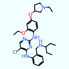 CCOc1cc(OC2CCN(CC)C2)ccc1Nc1ncc(Cl)c(Nc2ccccc2CNC(CC)CC)n1